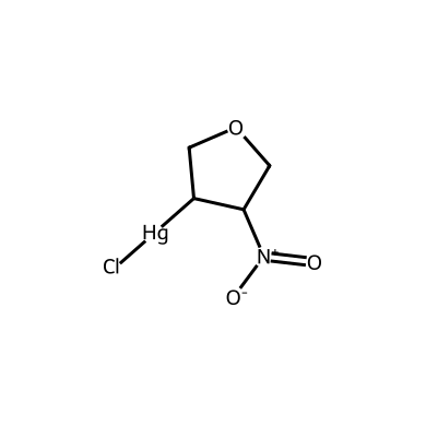 O=[N+]([O-])C1COC[CH]1[Hg][Cl]